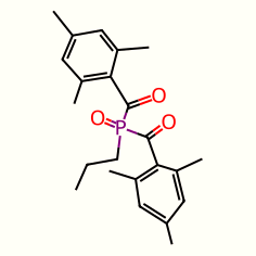 CCCP(=O)(C(=O)c1c(C)cc(C)cc1C)C(=O)c1c(C)cc(C)cc1C